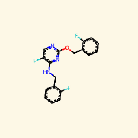 Fc1ccccc1CNc1nc(OCc2ccccc2F)ncc1F